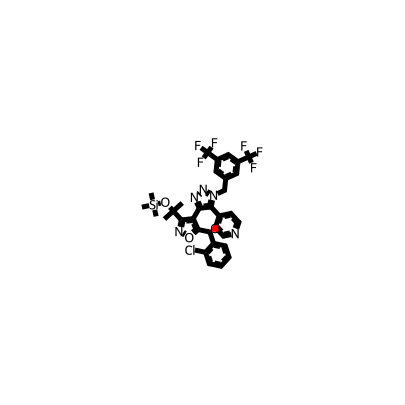 CC(C)(O[Si](C)(C)C)c1noc(C(=O)c2ccccc2Cl)c1-c1nnn(Cc2cc(C(F)(F)F)cc(C(F)(F)F)c2)c1-c1ccncc1